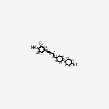 CC[C@H]1CC[C@H](C2CCC(/C=C/C#Cc3cc(F)c(C#N)c(F)c3)CC2)CC1